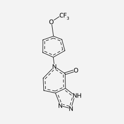 O=c1c2[nH]nnc2ccn1-c1ccc(OC(F)(F)F)cc1